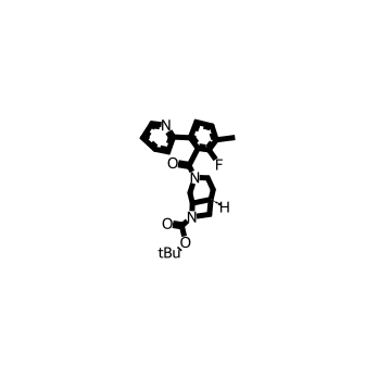 Cc1ccc(-c2ccccn2)c(C(=O)N2CC[C@H]3CN(C(=O)OC(C)(C)C)C3C2)c1F